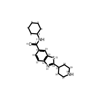 O=C(NC1CCCCC1)c1ccc2nc(C3CCNCC3)sc2c1